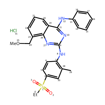 CCS(=O)(=O)c1ccc(Nc2nc(Nc3ccccc3)c3cccc(COC)c3n2)c(C)c1.Cl